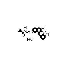 Cl.NC1CCc2ccc(OCCNC(=O)C3CC3)cc2C1Cc1cccc(Cl)c1